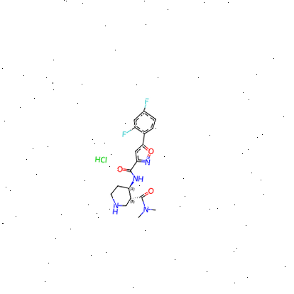 CN(C)C(=O)[C@@H]1CNCC[C@H]1NC(=O)c1cc(-c2ccc(F)cc2F)on1.Cl